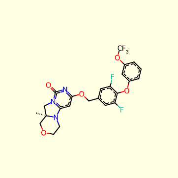 C[C@@]12COCCN1c1cc(OCc3cc(F)c(Oc4cccc(OC(F)(F)F)c4)c(F)c3)nc(=O)n1C2